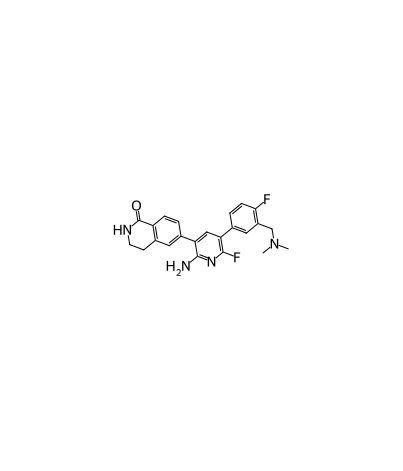 CN(C)Cc1cc(-c2cc(-c3ccc4c(c3)CCNC4=O)c(N)nc2F)ccc1F